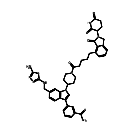 NC(=S)c1cccc(-c2cn(C3CCN(C(=O)CCCCc4cccc5c4C(=O)N(C4CCC(=O)NC4=O)C5)CC3)c3cc(CNc4nnc(N)s4)ccc23)c1